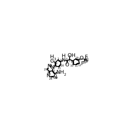 Cc1cc(NC(=O)C(O)c2cccc(OC(F)(F)F)c2)ccc1-n1ncc2ncnc(N)c21